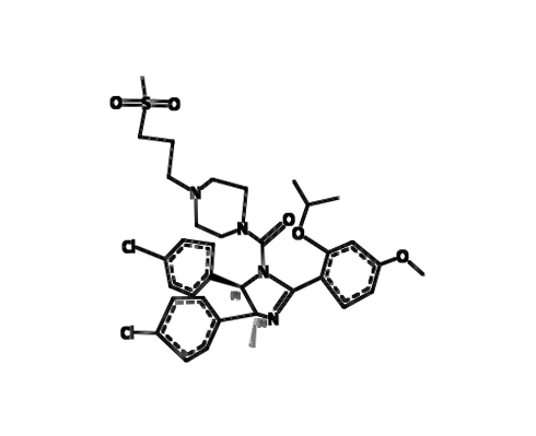 COc1ccc(C2=N[C@@](C)(c3ccc(Cl)cc3)[C@@H](c3ccc(Cl)cc3)N2C(=O)N2CCN(CCCS(C)(=O)=O)CC2)c(OC(C)C)c1